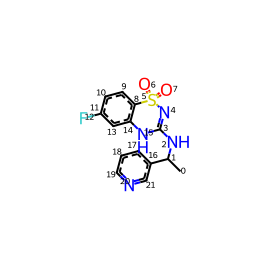 CC(NC1=NS(=O)(=O)c2ccc(F)cc2N1)c1cccnc1